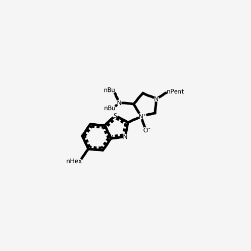 CCCCCCc1ccc2sc([N+]3([O-])CN(CCCCC)CC3N(CCCC)CCCC)nc2c1